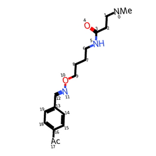 CNCCC(=O)NCCCCON=Cc1ccc(C(C)=O)cc1